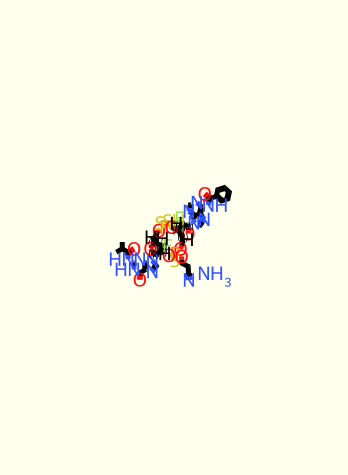 CC(C)C(=O)Nc1nc2c(ncn2[C@@H]2O[C@@H]3COP(=S)(S)O[C@H]4[C@H](F)[C@H](n5cnc6c(NC(=O)c7ccccc7)ncnc65)O[C@@H]4COP(=S)(OCCC#N)O[C@@H]2[C@@H]3F)c(=O)[nH]1.N